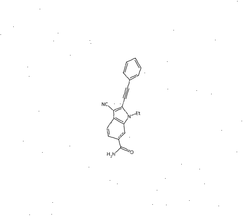 CCn1c(C#Cc2ccccc2)c(C#N)c2ccc(C(N)=O)cc21